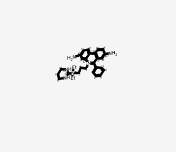 CC[N+](CC)(CCC[n+]1c(-c2ccccc2)c2cc(N)ccc2c2ccc(N)cc21)C1NCCCN1